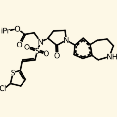 CC(C)OC(=O)CN([C@H]1CCN(c2ccc3c(c2)CCCNC3)C1=O)S(=O)(=O)/C=C/C1=CCC(Cl)S1